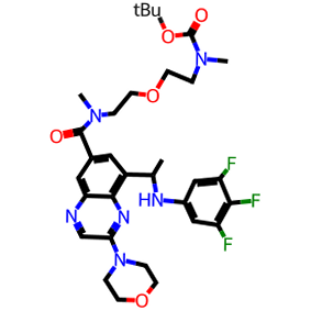 CC(Nc1cc(F)c(F)c(F)c1)c1cc(C(=O)N(C)CCOCCN(C)C(=O)OC(C)(C)C)cc2ncc(N3CCOCC3)nc12